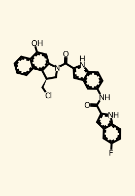 O=C(Nc1ccc2[nH]c(C(=O)N3C[C@@H](CCl)c4c3cc(O)c3ccccc43)cc2c1)c1cc2cc(F)ccc2[nH]1